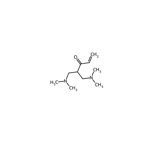 C=CC(=O)C(CN(C)C)CN(C)C